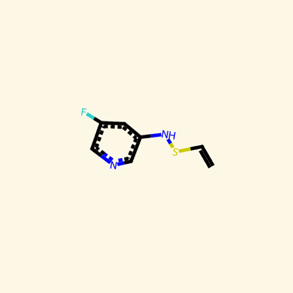 C=CSNc1cncc(F)c1